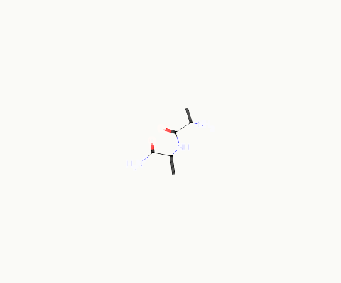 C=C(N)C(=O)NC(=C)C(N)=O